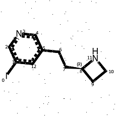 Ic1cncc(CC[C@@H]2CCN2)c1